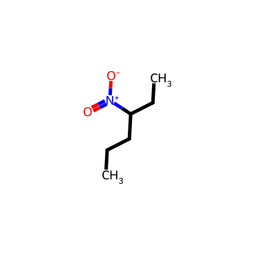 CCCC(CC)[N+](=O)[O-]